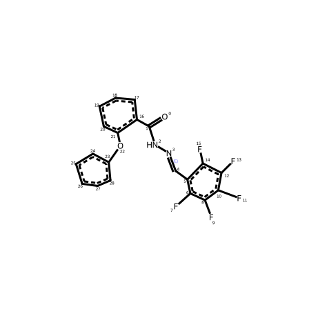 O=C(N/N=C/c1c(F)c(F)c(F)c(F)c1F)c1ccccc1Oc1ccccc1